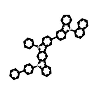 c1ccc(-c2ccc(-n3c4ccccc4c4cc5c6cc(-c7ccc8c(c7)c7ccccc7n8-c7cccc8ccccc78)ccc6n(-c6ccccc6)c5cc43)cc2)cc1